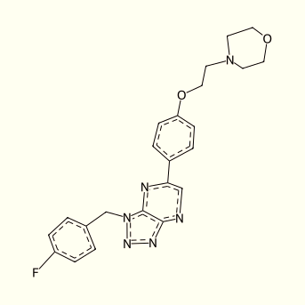 Fc1ccc(Cn2nnc3ncc(-c4ccc(OCCN5CCOCC5)cc4)nc32)cc1